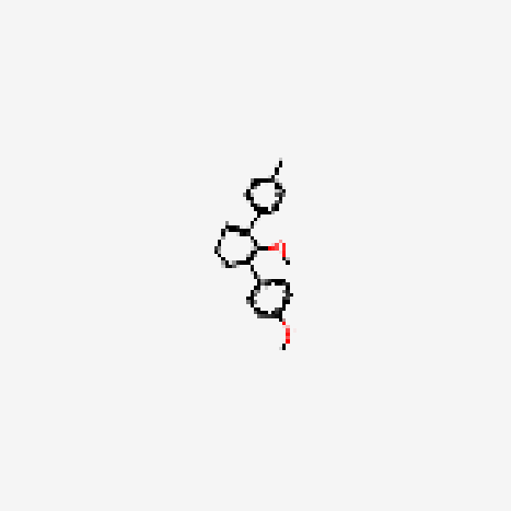 COC1=C(c2ccc(OC)cc2)[CH]CC=C1c1ccc(C)cc1